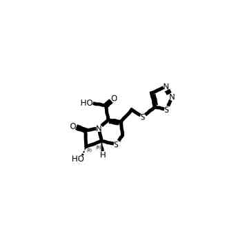 O=C(O)C1=C(CSc2cnns2)CS[C@@H]2[C@H](O)C(=O)N12